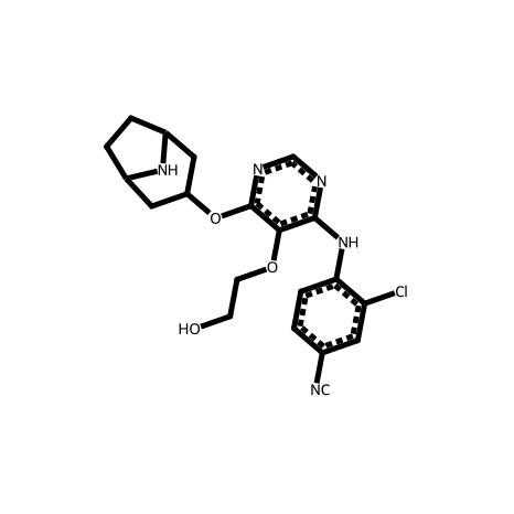 [C-]#[N+]c1ccc(Nc2ncnc(OC3CC4CCC(C3)N4)c2OCCO)c(Cl)c1